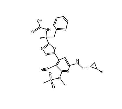 C[C@@H]1C[C@H]1CNc1cc(-c2nnc([C@@](C)(Cc3ccccc3)NC(=O)O)o2)c(C#N)c(N(C)S(C)(=O)=O)n1